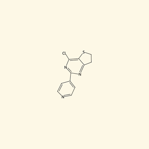 Clc1nc(-c2ccncc2)nc2c1SCC2